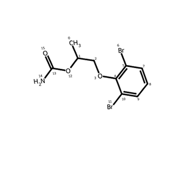 CC(COc1c(Br)cccc1Br)OC(N)=O